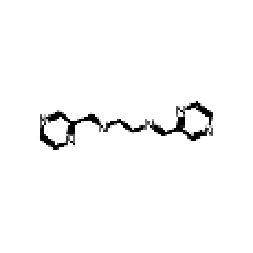 C(=N\CC/N=C/c1cnccn1)/c1cnccn1